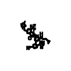 C[C@@H]1CCN(Cc2cc3c(c(C(F)(F)F)c2)CN(c2cc(-c4cc(C#N)ccc4-c4nncn4C)cc(NCCC4CC4)n2)C3=O)C1